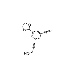 [C-]#[N+]c1cc(C#CCO)cc(C2OCCO2)c1